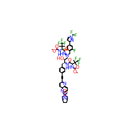 COC(=O)NC(C(=O)N[C@@H](Cc1ccc(C#Cc2ccc3nc(N4CC5CCC(C4)N5C4COC4)ccc3n2)cc1)[C@@H](O)CN(Cc1c(F)cc(-c2ccn(C(F)F)n2)cc1F)NC(=O)[C@@H](NC(=O)OC)C(C)(C)C(F)(F)F)C(C)(C)C(F)(F)F